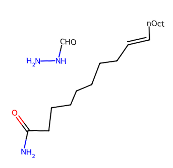 CCCCCCCCC=CCCCCCCCC(N)=O.NNC=O